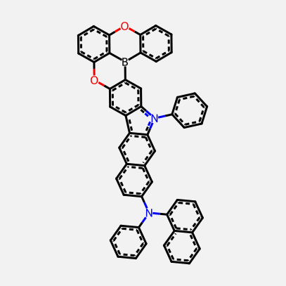 c1ccc(N(c2ccc3cc4c5cc6c(cc5n(-c5ccccc5)c4cc3c2)B2c3ccccc3Oc3cccc(c32)O6)c2cccc3ccccc23)cc1